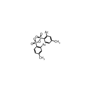 CC(=O)c1cc(C)ccc1S(=O)(=O)OS(=O)(=O)c1ccc(C)cc1C(C)=O